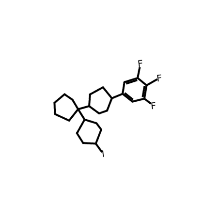 Fc1cc(C2CCC(C3(C4CCC(I)CC4)CCCCC3)CC2)cc(F)c1F